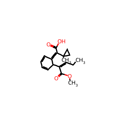 CC/C=C(\C(=O)OC)C1C=CC=C/C1=C(\C(=O)O)C1(C)CC1